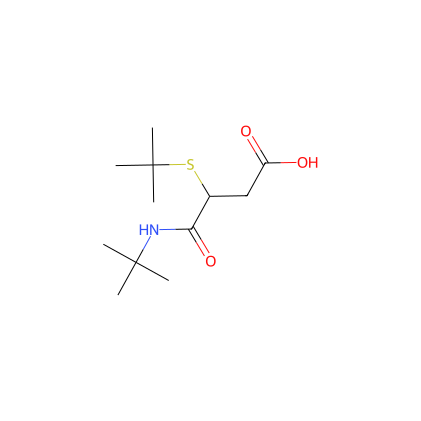 CC(C)(C)NC(=O)C(CC(=O)O)SC(C)(C)C